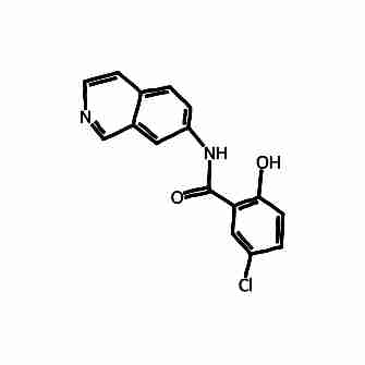 O=C(Nc1ccc2ccncc2c1)c1cc(Cl)ccc1O